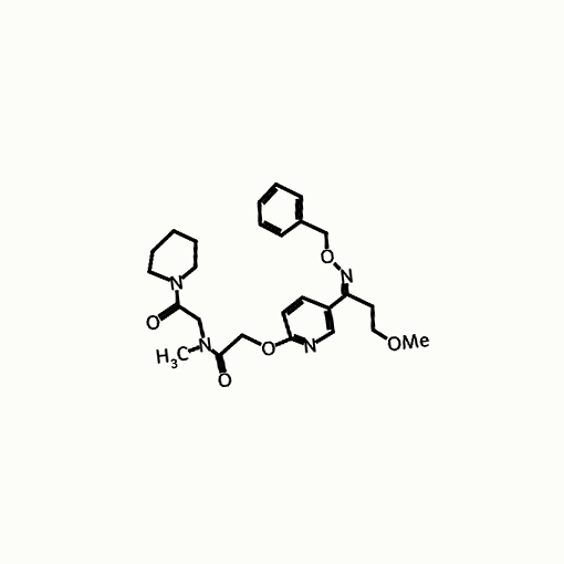 COCCC(=NOCc1ccccc1)c1ccc(OCC(=O)N(C)CC(=O)N2CCCCC2)nc1